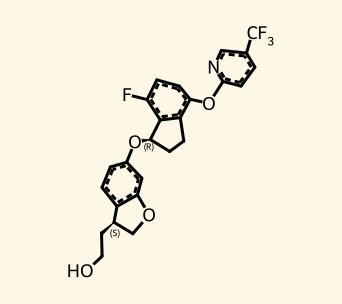 OCC[C@@H]1COc2cc(O[C@@H]3CCc4c(Oc5ccc(C(F)(F)F)cn5)ccc(F)c43)ccc21